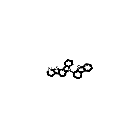 c1ccc2c(c1)sc1c(-n3c4ccccc4c4c5sc6ncccc6c5ccc43)cccc12